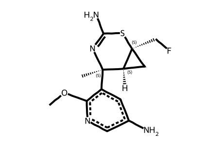 COc1ncc(N)cc1[C@@]1(C)N=C(N)S[C@@]2(CF)C[C@H]21